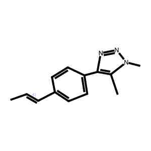 C/C=C/c1ccc(-c2nnn(C)c2C)cc1